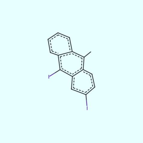 Cc1c2ccccc2c(I)c2cc(I)ccc12